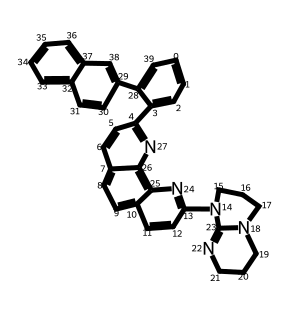 c1ccc(-c2ccc3ccc4ccc(N5CCCN6CCCN=C65)nc4c3n2)c(-c2ccc3ccccc3c2)c1